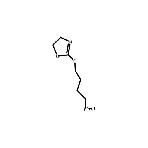 CCCCCCCCCOC1=NCCO1